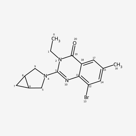 CCn1c(N2CC3CC3C2)nc2c(Br)cc(C)cc2c1=O